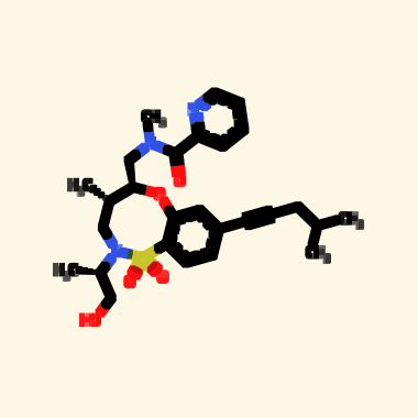 CC(C)CC#Cc1ccc2c(c1)O[C@H](CN(C)C(=O)c1ccccn1)[C@@H](C)CN([C@@H](C)CO)S2(=O)=O